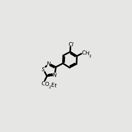 CCOC(=O)c1nc(-c2ccc(C)c(Cl)c2)ns1